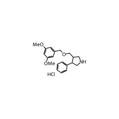 COc1cc(COCC2CNCC2c2ccccc2)cc(OC)c1.Cl